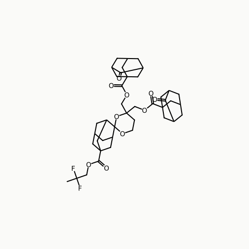 CC(F)(F)COC(=O)C12CC3CC(C1)C1(OCCC(COC(=O)C45CC6CC(C4)C(=O)C(C6)C5)(COC(=O)C45CC6CC(C4)C(=O)C(C6)C5)O1)C(C3)C2